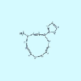 CC1C=NC(c2ccco2)CC=CCCC=CC1